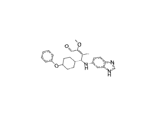 CO/C(C=O)=C(\C)C(Nc1ccc2nc[nH]c2c1)C1CCC(Oc2ccccc2)CC1